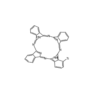 [Ti][c]1cccc2c3nc4nc(nc5[nH]c(nc6nc(nc([nH]3)c12)-c1ccccc1-6)c1ccccc51)-c1ccccc1-4